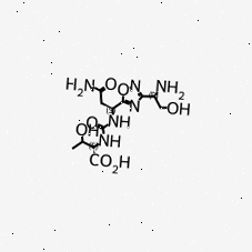 CC(O)[C@H](NC(=O)N[C@@H](CC(N)=O)c1nc([C@@H](N)CO)no1)C(=O)O